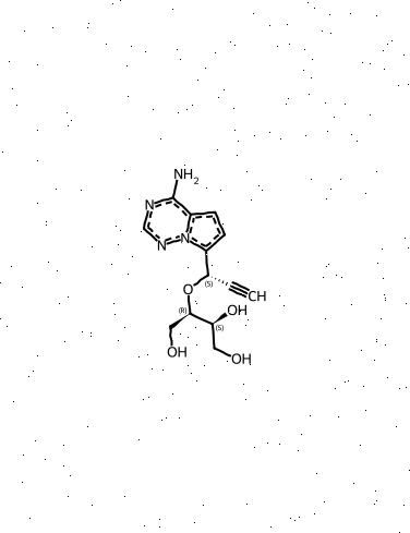 C#C[C@H](O[C@H](CO)[C@@H](O)CO)c1ccc2c(N)ncnn12